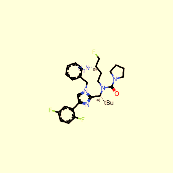 CC(C)(C)[C@H](c1nc(-c2cc(F)ccc2F)cn1Cc1ccccc1)N(CC[C@H](N)CF)C(=O)N1CCCC1